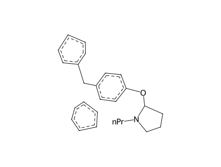 CCCN1CCCC1Oc1ccc(Cc2ccccc2)cc1.c1ccccc1